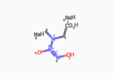 CN(CC(=O)O)/[N+]([O-])=N\O.[NaH].[NaH]